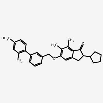 Cc1cc(C(=O)O)ccc1-c1cccc(COc2cc3c(c(C)c2C)C(=O)C(C2CCCC2)C3)c1